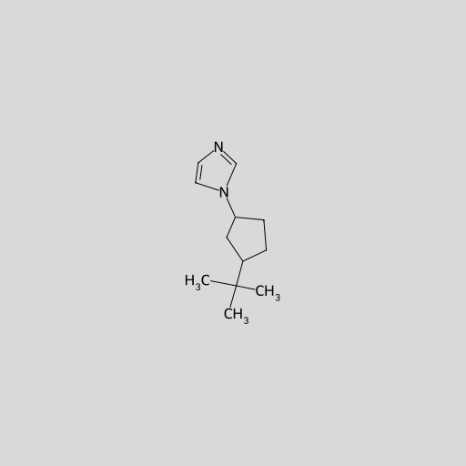 CC(C)(C)C1CCC(n2ccnc2)C1